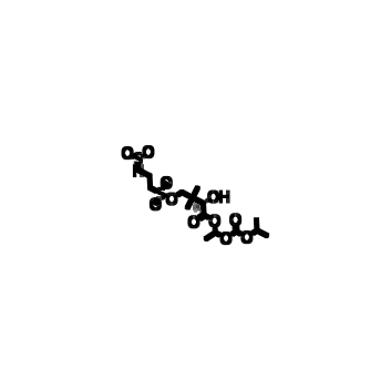 CC(C)OC(=O)OC(C)OC(=O)[C@@H](O)C(C)(C)COS(=O)(=O)CCC[SH](=O)=O